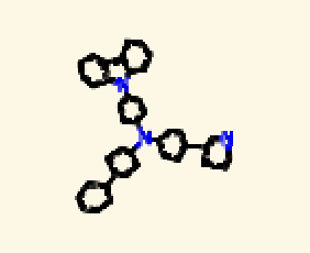 c1ccc(-c2ccc(N(c3ccc(-c4cccnc4)cc3)c3ccc(-n4c5ccccc5c5ccccc54)cc3)cc2)cc1